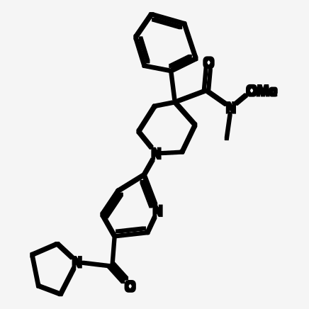 CON(C)C(=O)C1(c2ccccc2)CCN(c2ccc(C(=O)N3CCCC3)cn2)CC1